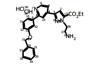 CCOC(=O)c1cc(-c2ccnc(-c3cccc(OCc4ccccc4)c3)c2)nn1CCN.Cl.Cl